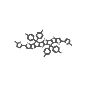 Cc1ccc(C2(c3ccc(C)cc3)c3c(sc4cc(-c5ccc(C)s5)sc34)-c3sc4c5c(sc4c32)-c2sc3cc(-c4ccc(C)s4)sc3c2C5(c2ccc(C)cc2)c2ccc(C)cc2)cc1